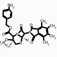 Cc1c(C)c(C)c2c(c1C)C(=O)N(C1C(=O)N3C(C(=O)OCc4ccc([N+](=O)[O-])cc4)[C@](C)(O[N+](=O)[O-])CS[C@H]13)C2=O